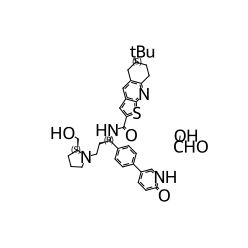 CC(C)(C)[C@H]1CCc2nc3sc(C(=O)N[C@H](CCN4CCC[C@H]4CO)c4ccc(-c5ccc(=O)[nH]c5)cc4)cc3cc2C1.O=CO